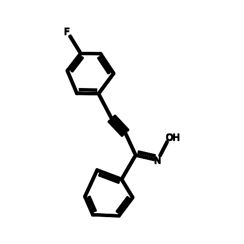 ON=C(C#Cc1ccc(F)cc1)c1ccccc1